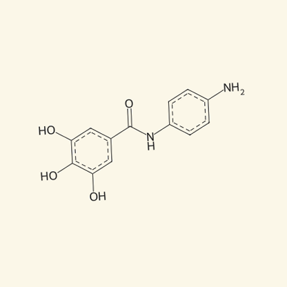 Nc1ccc(NC(=O)c2cc(O)c(O)c(O)c2)cc1